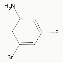 NC1C=C(F)C=C(Br)C1